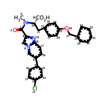 CN(C(=O)c1cn2cc(-c3ccc(Cl)cc3)ccc2n1)[C@@H](Cc1ccc(OCc2ccccc2)cc1)C(=O)O